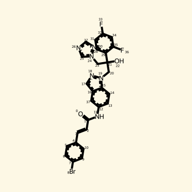 O=C(C=Cc1ccc(Br)cc1)Nc1ccc2c(cnn2CC(O)(Cn2cncn2)c2ccc(F)cc2F)c1